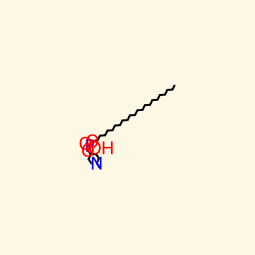 CCCCCCCCCCCCCCCCCCCCCCOP(=O)(O)OC1CCN(C)CC1